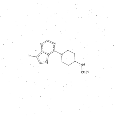 O=C(O)NC1CCN(c2ncnc3c(I)csc23)CC1